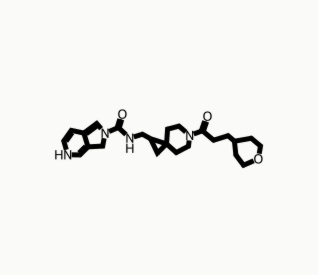 O=C(NCC1CC12CCN(C(=O)CCC1CCOCC1)CC2)N1C=C2C=CNC=C2C1